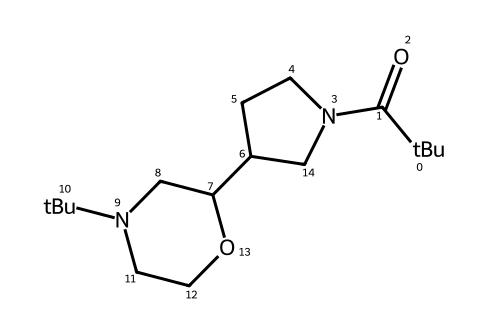 CC(C)(C)C(=O)N1CCC(C2CN(C(C)(C)C)CCO2)C1